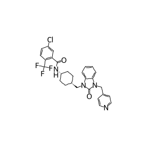 O=C(N[C@H]1CC[C@H](Cn2c(=O)n(Cc3ccncc3)c3ccccc32)CC1)c1cc(Cl)ccc1C(F)(F)F